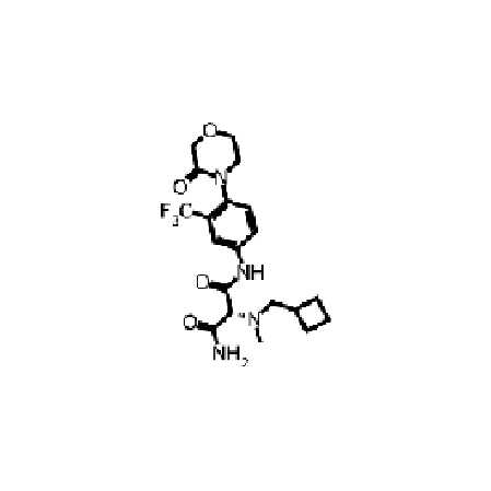 CN(CC1CCC1)[C@H](C(N)=O)C(=O)Nc1ccc(N2CCOCC2=O)c(C(F)(F)F)c1